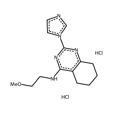 COCCNc1nc(-n2ccnc2)nc2c1CCCC2.Cl.Cl